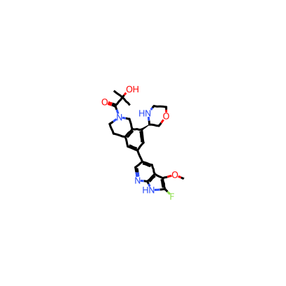 COc1c(F)[nH]c2ncc(-c3cc4c(c([C@@H]5COCCN5)c3)CN(C(=O)C(C)(C)O)CC4)cc12